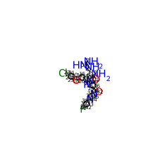 N=C(N)NCCC[C@@H](C(N)=O)n1c(-c2cccc(Oc3ccc(Cl)cc3)c2)nc2cc(C(=O)N3CCN(c4ccc(F)cc4)CC3)ccc21